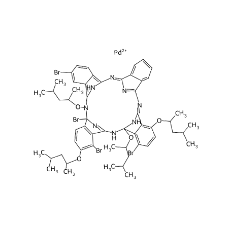 CC(C)CC(C)Oc1ccc2c(c1Br)C1=NC2(Br)N(OC(C)CC(C)C)c2[nH]c(c3ccc(Br)cc23)\N=C2/N=C(\N=C3/NC(OC(C)CC(C)C)(N1)c1c(Br)ccc(OC(C)CC(C)C)c13)c1ccccc12.[Pd+2]